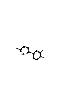 Cc1ccc(-c2ccc(Cl)c(Cl)c2)nn1